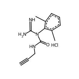 C#CCNC(=O)N(C(=N)N)c1c(C)cccc1C.Cl